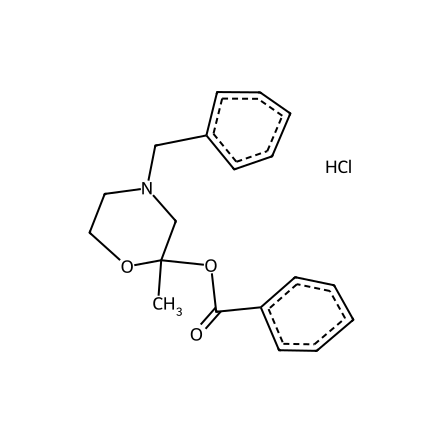 CC1(OC(=O)c2ccccc2)CN(Cc2ccccc2)CCO1.Cl